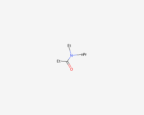 [CH2]CCN(CC)C(=O)CC